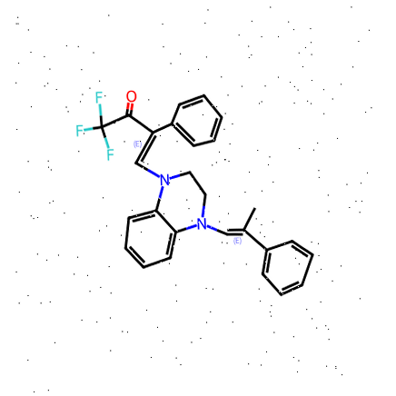 C/C(=C\N1CCN(/C=C(/C(=O)C(F)(F)F)c2ccccc2)c2ccccc21)c1ccccc1